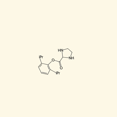 CC(C)c1cccc(C(C)C)c1OC(=O)C1NCCN1